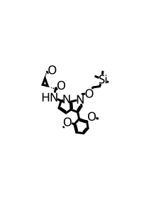 COc1cccc(OC)c1-c1cn(COCC[Si](C)(C)C)c2nc(NC(=O)[C@@H]3C[C@@H]3C=O)ccc12